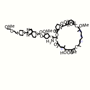 COCCOCCN1CCN(c2ncc3c(n2)CCN(C(=O)O[C@@H]2CC[C@@H](C[C@@H](N)[C@@H]4CC(=O)[C@H](C)/C=C(\C)[C@@H](O)[C@@H](OC)C(=O)[C@H](C)C[C@H](C)/C=C/C=C/C=C(\C)[C@@H](OC)C[C@@H]5CC[C@@H](C)[C@@](O)(O5)C(=O)C(=O)N5CCCC[C@H]5C(=O)O4)C[C@H]2OC)C3)CC1